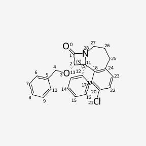 O=C1[C@@H](OCc2ccccc2)[C@]2(c3ccccc3)c3cc(Cl)ccc3CCCN12